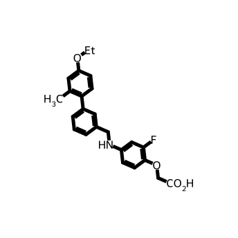 CCOc1ccc(-c2cccc(CNc3ccc(OCC(=O)O)c(F)c3)c2)c(C)c1